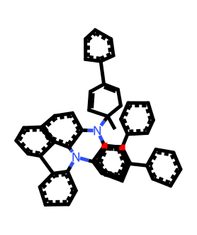 CC1(N(c2ccccc2-c2ccccc2)c2ccccc2N(c2ccc(-c3ccccc3)cc2)c2ccccc2-c2ccccc2)C=CC(c2ccccc2)=CC1